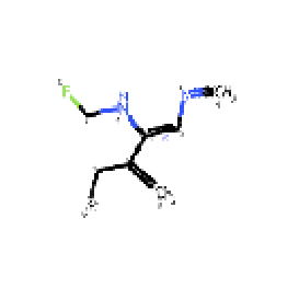 C=N/C=C(\NCF)C(=C)CC(C)C